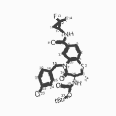 C[C@H]1Sc2ccc(C(=O)NC3CC3(F)F)cc2N(Cc2ccc(Cl)cc2)C(=O)[C@H]1NC(=O)OC(C)(C)C